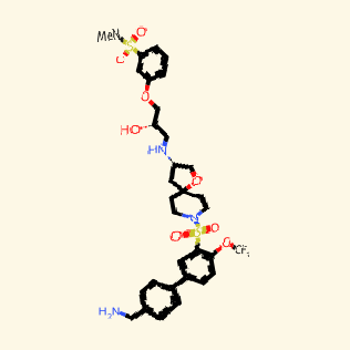 CNS(=O)(=O)c1cccc(OC[C@@H](O)CN[C@@H]2COC3(CCN(S(=O)(=O)c4cc(-c5ccc(CN)cc5)ccc4OC(F)(F)F)CC3)C2)c1